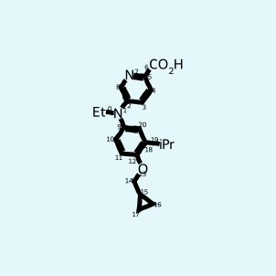 CCN(c1ccc(C(=O)O)nc1)c1ccc(OCC2CC2)c(C(C)C)c1